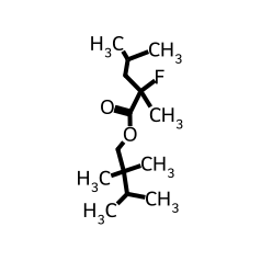 CC(C)CC(C)(F)C(=O)OCC(C)(C)C(C)C